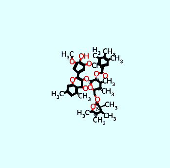 COc1cc(-c2oc3cc(C)cc(C)c3c(=O)c2O[C@H]2OC(CO[C@@H]3OC(C)[C@H](C)C(C)[C@@H]3C)[C@H](C)C(C)[C@H]2OC(=O)c2cc(C)c(C)c(C)c2)cc(OC)c1O